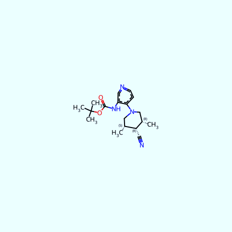 C[C@@H]1CN(c2ccncc2NC(=O)OC(C)(C)C)C[C@H](C)[C@@H]1C#N